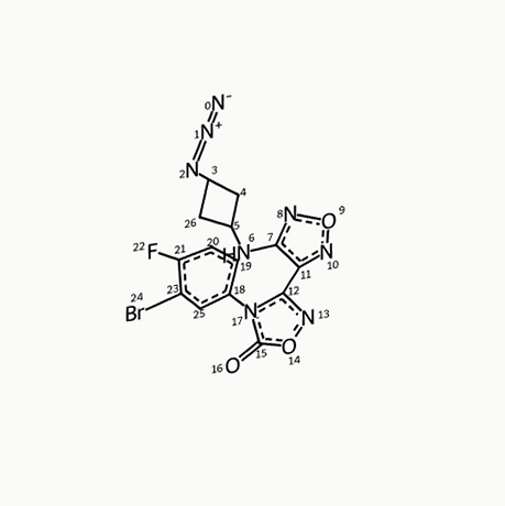 [N-]=[N+]=NC1CC(Nc2nonc2-c2noc(=O)n2-c2ccc(F)c(Br)c2)C1